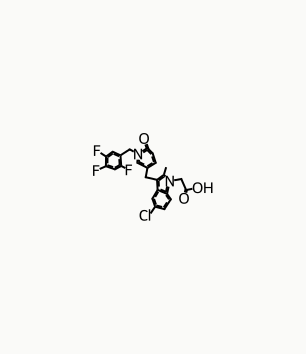 Cc1c(Cc2ccc(=O)n(Cc3cc(F)c(F)cc3F)c2)c2cc(Cl)ccc2n1CC(=O)O